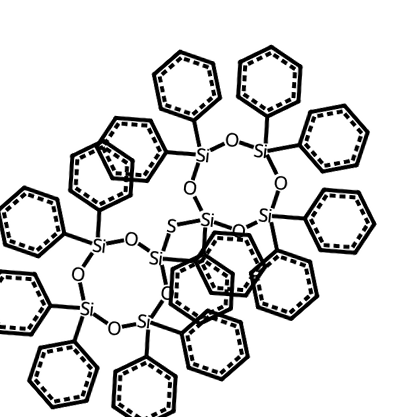 c1ccc([Si]2(S[Si]3(c4ccccc4)O[Si](c4ccccc4)(c4ccccc4)O[Si](c4ccccc4)(c4ccccc4)O[Si](c4ccccc4)(c4ccccc4)O3)O[Si](c3ccccc3)(c3ccccc3)O[Si](c3ccccc3)(c3ccccc3)O[Si](c3ccccc3)(c3ccccc3)O2)cc1